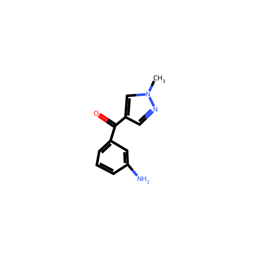 Cn1cc(C(=O)c2cccc(N)c2)cn1